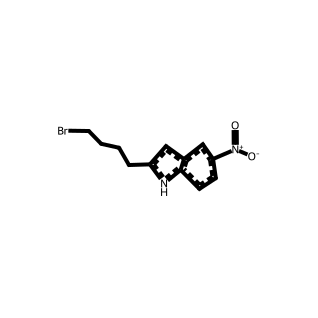 O=[N+]([O-])c1ccc2[nH]c(CCCCBr)cc2c1